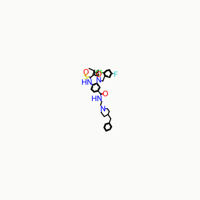 O=C(NCCN1CCC(Cc2ccccc2)CC1)c1ccc2c(c1)N(Cc1cc(F)ccc1Cl)C(=O)[C@H]1CCOSC1N2